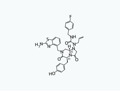 C=CCN(C(=O)NCc1ccc(F)cc1)N1CC(=O)N2[C@@H](Cc3ccc(O)cc3)C(=O)N(Cc3cccc4sc(N)nc34)C[C@@H]21